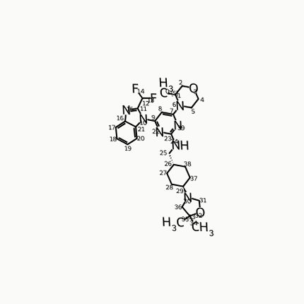 C[C@H]1COCCN1c1cc(-n2c(C(F)F)nc3ccccc32)nc(NC[C@H]2CC[C@H](N3COC(C)(C)C3)CC2)n1